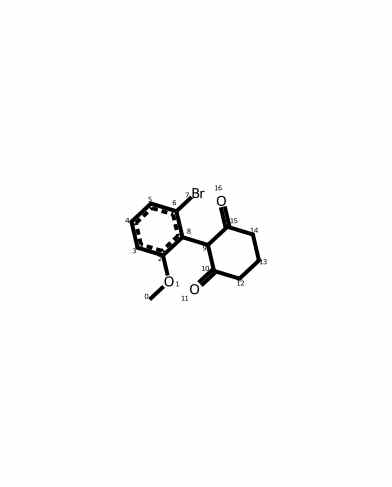 COc1cccc(Br)c1C1C(=O)CCCC1=O